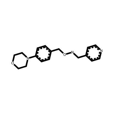 c1cc(C[N]OCc2ccc(N3CCOCC3)cc2)ccn1